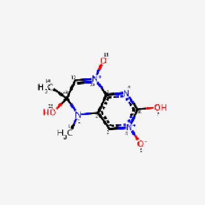 CN1c2c[n+]([O-])c(O)nc2[N+]([O-])=CC1(C)O